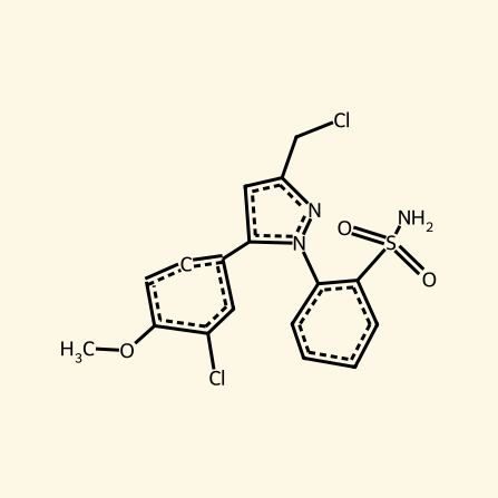 COc1ccc(-c2cc(CCl)nn2-c2ccccc2S(N)(=O)=O)cc1Cl